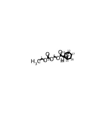 CCOC(=O)OCOC(=O)[C@@H]1CC2CCC1CC2